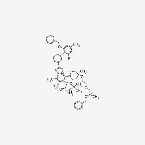 Cc1cc(F)c(-c2cccc(-c3cn4c(N5CCC(C)(OCCOC[C@@H](C)OCc6ccccc6)CC5)c([C@H](OC(C)(C)C)C(=O)O)c(C)c(C)c4n3)c2)c(OCc2ccccc2)c1